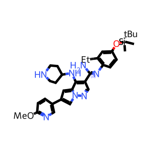 CCc1cc(O[Si](C)(C)C(C)(C)C)ccc1/N=C(\N)c1cnn2cc(-c3ccc(OC)nc3)cc2c1NC1CCNCC1